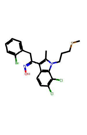 CSCCCn1c(C)c(C(Cc2ccccc2Br)=NO)c2ccc(Cl)c(Cl)c21